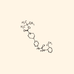 COc1ccccc1NC(=O)Nc1ccc(C2=CCN(C(=O)OC(C)(C)C)CC2)cc1